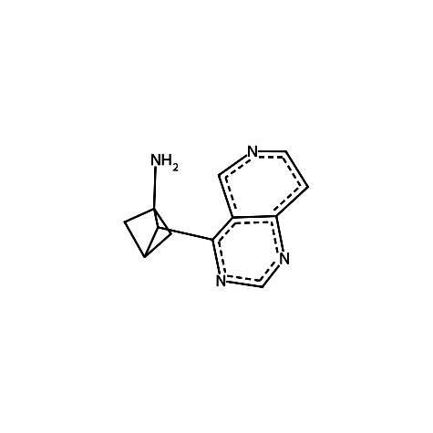 NC12CC(C1)C2c1ncnc2ccncc12